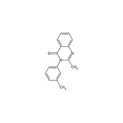 Cc1cccc(-n2c(C)nc3ccccc3c2=O)c1